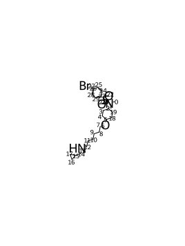 CN([C@H]1CC[C@H](OCCCCCCNCC2CC2)CC1)S(=O)(=O)c1ccc(Br)cc1